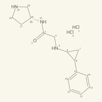 Cl.Cl.O=C(CNC1CC1c1ccccc1)N[C@@H]1CCNC1